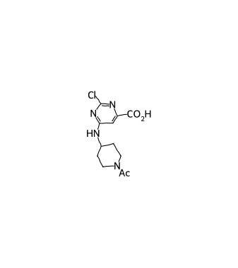 CC(=O)N1CCC(Nc2cc(C(=O)O)nc(Cl)n2)CC1